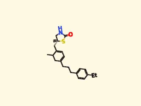 CCc1ccc(CCCC2=CC=C(C[C@@H]3CNC(=O)S3)C(C)C2)cc1